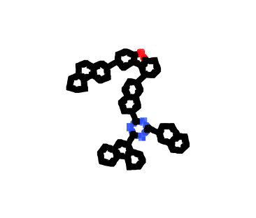 c1ccc2cc(-c3nc(-c4ccc5ccc(-c6cccc7oc8ccc(-c9ccc%10c(ccc%11ccccc%11%10)c9)cc8c67)cc5c4)nc(-c4cc5ccccc5c5ccccc45)n3)ccc2c1